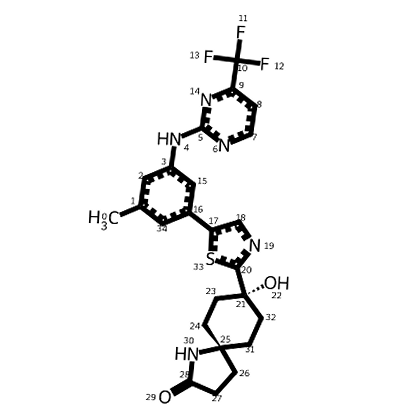 Cc1cc(Nc2nccc(C(F)(F)F)n2)cc(-c2cnc([C@]3(O)CC[C@]4(CCC(=O)N4)CC3)s2)c1